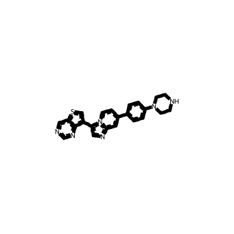 c1ncc2scc(-c3cnc4cc(-c5ccc(N6CCNCC6)cc5)ccn34)c2n1